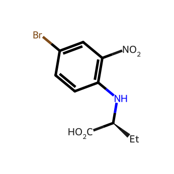 CC[C@H](Nc1ccc(Br)cc1[N+](=O)[O-])C(=O)O